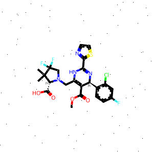 COC(=O)C1=C(CN2CC(F)(F)C(C)(C)[C@H]2C(=O)O)NC(c2nccs2)=N[C@H]1c1ccc(F)cc1Cl